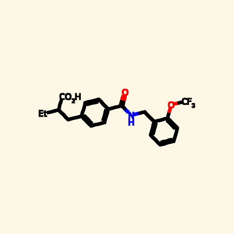 CCC(Cc1ccc(C(=O)NCc2ccccc2OC(F)(F)F)cc1)C(=O)O